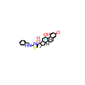 C[C@@H]1C[C@H]2[C@@H]3CCC4=CC(=O)C=C[C@]4(C)[C@@]3(F)[C@@H](O)C[C@]2(C)[C@@]1(O)c1csc(NCc2ccccc2)n1